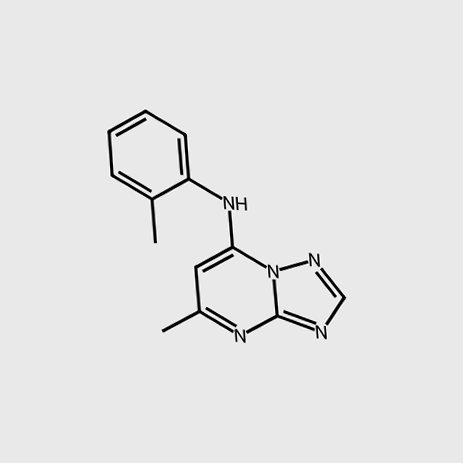 Cc1cc(Nc2ccccc2C)n2ncnc2n1